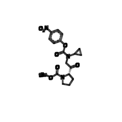 CC(C)(C)OC(=O)N1CCC[C@H]1C(=O)CN(C(=O)Oc1ccc([N+](=O)[O-])cc1)C1CC1